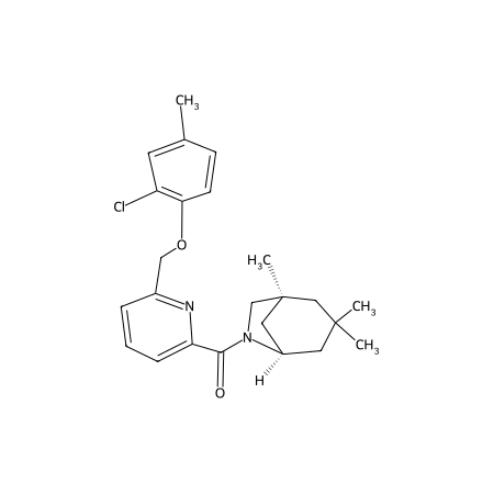 Cc1ccc(OCc2cccc(C(=O)N3C[C@]4(C)C[C@H]3CC(C)(C)C4)n2)c(Cl)c1